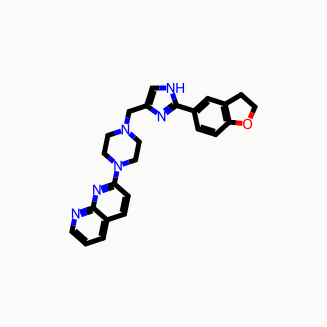 c1cnc2nc(N3CCN(Cc4c[nH]c(-c5ccc6c(c5)CCO6)n4)CC3)ccc2c1